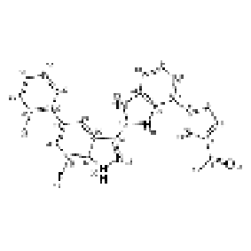 CC(=O)c1ccc(-c2nccc3[nH]c(-c4n[nH]c5c(F)cc(-c6cnccc6C)cc45)nc23)s1